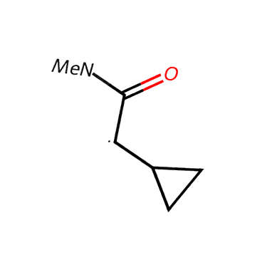 CNC(=O)[CH]C1CC1